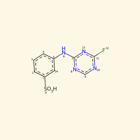 O=S(=O)(O)c1cccc(Nc2ncnc(F)n2)c1